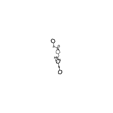 O=C(C1CC1c1ccccc1)N1CCC(CNc2ncc(C#Cc3ccccc3)cn2)CC1